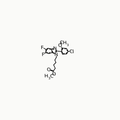 COC(=O)CCCCCn1c(-c2ccc(Cl)cc2OC)nc2cc(F)c(F)cc21